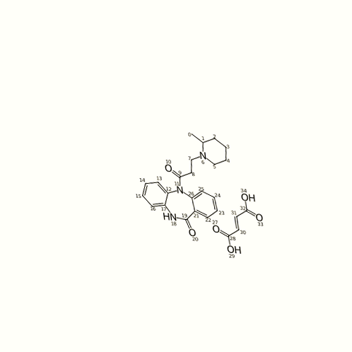 CC1CCCCN1CCC(=O)N1c2ccccc2NC(=O)c2ccccc21.O=C(O)C=CC(=O)O